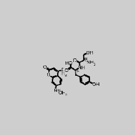 Cc1cc(=O)oc2cc(N)ccc12.N[C@@H](CO)C(=O)N[C@@H](Cc1ccc(O)cc1)C(=O)O.O